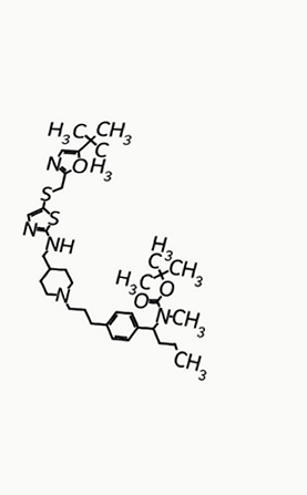 CCCC(c1ccc(CCCN2CCC(CNc3ncc(SCc4ncc(C(C)(C)C)o4)s3)CC2)cc1)N(C)C(=O)OC(C)(C)C